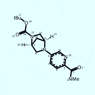 CNC(=O)c1ccc(N2C[C@@H]3C[C@H]2CN3C(=O)OC(C)(C)C)cn1